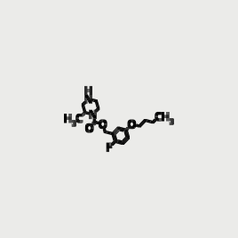 CCCCOc1ccc(F)c(COC(=O)N2CCNCC2C)c1